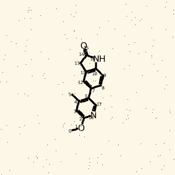 COc1cc(C)c(-c2ccc3c(c2)CC(=O)N3)cn1